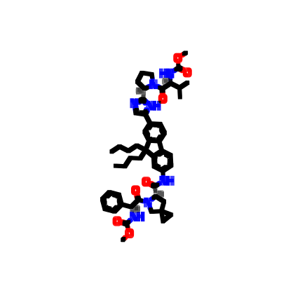 CCCCC1(CCCC)c2cc(NC(=O)[C@@H]3CC4(CC4)CN3C(=O)[C@H](NC(=O)OC)c3ccccc3)ccc2-c2ccc(-c3cnc([C@@H]4CCCN4C(=O)[C@@H](NC(=O)OC)C(C)C)[nH]3)cc21